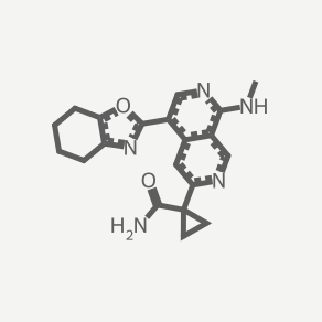 CNc1ncc(-c2nc3c(o2)CCCC3)c2cc(C3(C(N)=O)CC3)ncc12